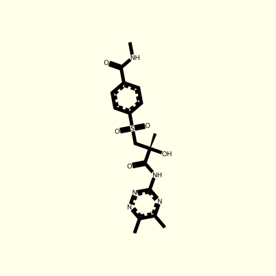 CNC(=O)c1ccc(S(=O)(=O)C[C@](C)(O)C(=O)Nc2nnc(C)c(C)n2)cc1